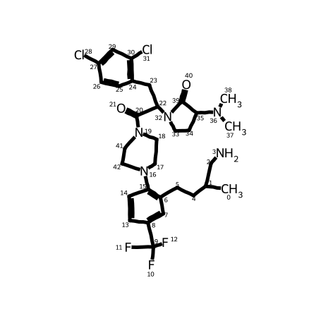 CC(CN)CCc1cc(C(F)(F)F)ccc1N1CCN(C(=O)C(Cc2ccc(Cl)cc2Cl)N2CCC(N(C)C)C2=O)CC1